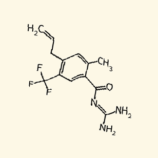 C=CCc1cc(C)c(C(=O)N=C(N)N)cc1C(F)(F)F